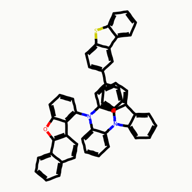 c1cc(-c2ccc3sc4ccccc4c3c2)cc(N(c2ccccc2-n2c3ccccc3c3ccccc32)c2cccc3oc4c5ccccc5ccc4c23)c1